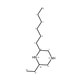 [CH2]CCCCCC1CNCC(CC)N1